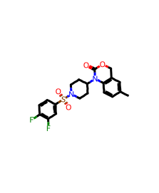 Cc1ccc2c(c1)COC(=O)N2C1CCN(S(=O)(=O)c2ccc(F)c(F)c2)CC1